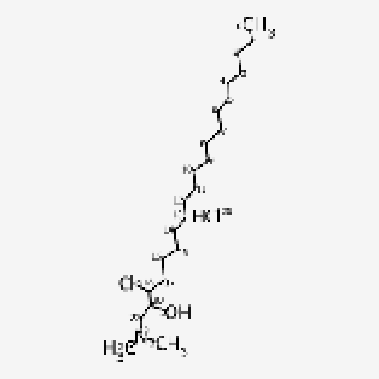 CCCCCCCCCCCCCCCCCCC(Cl)C(O)CN(C)C.Cl